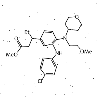 CCC(CC(=O)OC)c1ccc(N(CCOC)C2CCOCC2)c(Nc2ccc(Cl)cc2)c1